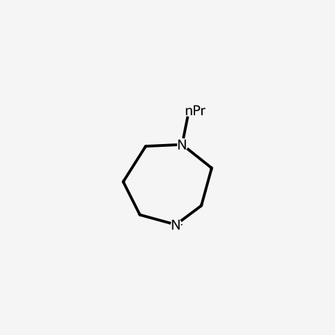 CCCN1CCC[N]CC1